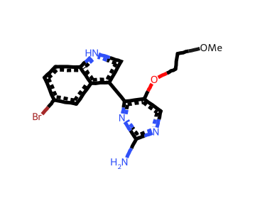 COCCOc1cnc(N)nc1-c1c[nH]c2ccc(Br)cc12